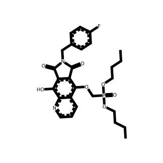 CCCCOP(=O)(COc1c2c(c(O)c3ncccc13)C(=O)N(Cc1ccc(F)cc1)C2=O)OCCCC